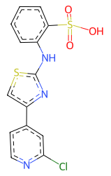 O=S(=O)(O)c1ccccc1Nc1nc(-c2ccnc(Cl)c2)cs1